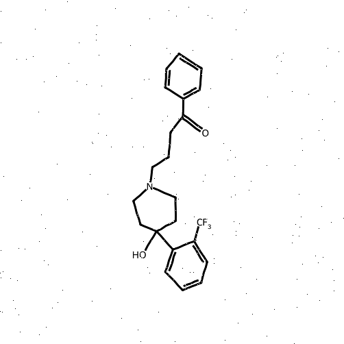 O=C(CCCN1CCC(O)(c2ccccc2C(F)(F)F)CC1)c1ccccc1